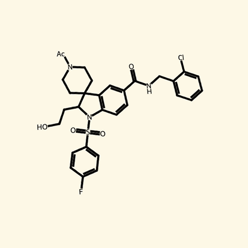 CC(=O)N1CCC2(CC1)c1cc(C(=O)NCc3ccccc3Cl)ccc1N(S(=O)(=O)c1ccc(F)cc1)C2CCO